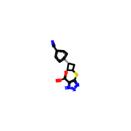 N#Cc1ccc([C@H]2C[C@H](Sc3nn[nH]c3C(=O)O)C2)cc1